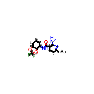 CCCCc1ccc(C(=O)Nc2cccc3c2OC(F)(F)O3)c(N)n1